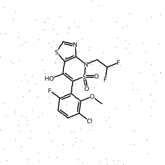 COc1c(Cl)ccc(F)c1C1=C(O)c2scnc2N(CC(F)F)S1(=O)=O